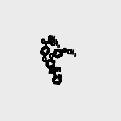 CSc1ccc(Oc2cc3[nH]c(-c4ccccn4)nc3cc2Oc2ccc(C(=O)N(C)C)cc2)cc1